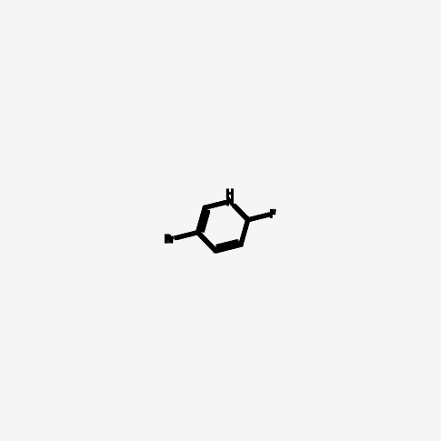 F[C]1C=CC(Br)=CN1